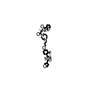 C[C@H](NC(=O)c1ccco1)C(=O)N1CCCN(CCCOc2ccc(-c3noc(-c4ccoc4)n3)c(F)c2)CC1